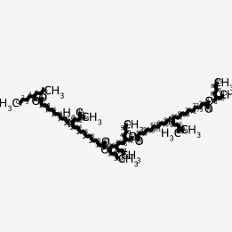 CCCCCC(CCCC)OC(=O)CCCCCCCCCN(CCCCCCCCCC(=O)OC(CCCC)CC(CCC)CCC(CCCC)COC(=O)CCCCCCCCCN(CCCCCCCCCC(=O)OCC(CC)CCCC)CCN(C)C)CCN(C)C